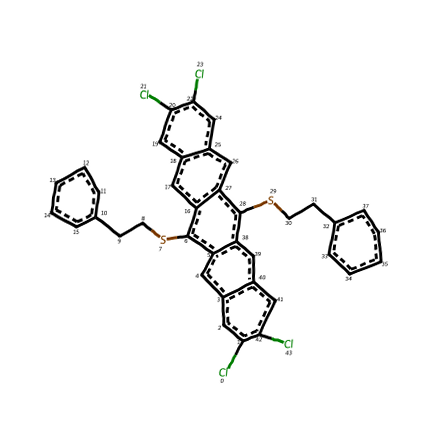 Clc1cc2cc3c(SCCc4ccccc4)c4cc5cc(Cl)c(Cl)cc5cc4c(SCCc4ccccc4)c3cc2cc1Cl